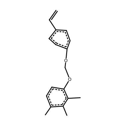 C=Cc1ccc(OCOc2ccc(C)c(C)c2C)cc1